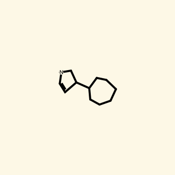 C1=CC(C2CCCCCC2)C[N]1